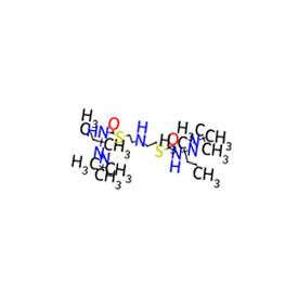 CCCC(C)(N=NC(C)(C)C)NC(=O)SCCNCCSC(=O)NC(C)(CCC)N=NC(C)(C)C